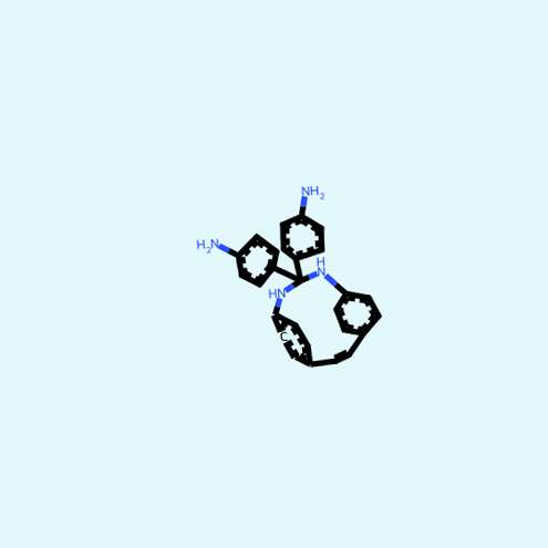 Nc1ccc(C2(c3ccc(N)cc3)Nc3ccc(cc3)C=Cc3ccc(cc3)N2)cc1